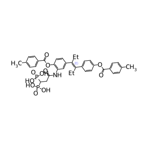 CC/C(=C(/CC)c1ccc(OC(=O)c2ccc(C)cc2)c(NC(=O)CC(P(=O)(O)O)P(=O)(O)O)c1)c1ccc(OC(=O)c2ccc(C)cc2)cc1